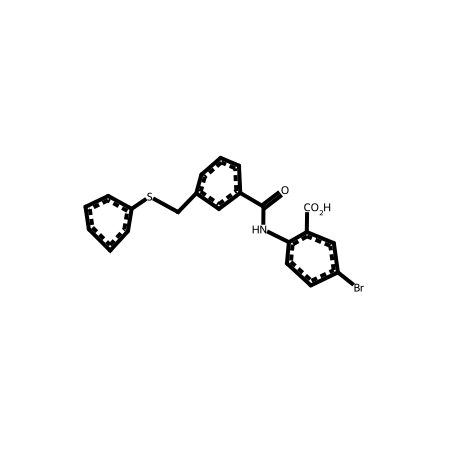 O=C(Nc1ccc(Br)cc1C(=O)O)c1cccc(CSc2ccccc2)c1